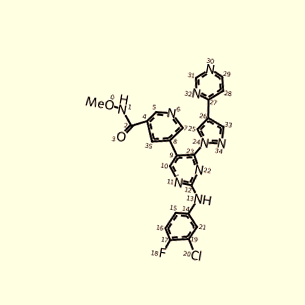 CONC(=O)c1cncc(-c2cnc(Nc3ccc(F)c(Cl)c3)nc2-n2cc(-c3ccncn3)cn2)c1